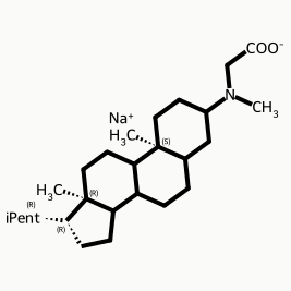 CCC[C@@H](C)[C@H]1CCC2C3CCC4CC(N(C)CC(=O)[O-])CC[C@]4(C)C3CC[C@@]21C.[Na+]